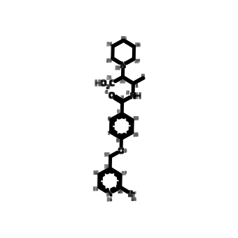 CC(NC(=O)c1ccc(OCc2ccnc(Br)c2)cc1)C(C(=O)O)N1CCCCC1